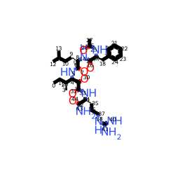 CC[C@H](C)C(NC(=O)[C@H](CCC(C)C)NC(=O)[C@H](Cc1ccccc1)NC(C)=O)C(=O)C(=O)N[C@H](CCCNC(=N)N)C(N)=O